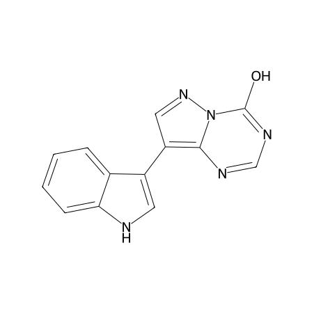 Oc1ncnc2c(-c3c[nH]c4ccccc34)cnn12